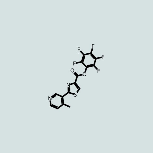 Cc1ccncc1-c1nc(C(=O)Oc2c(F)c(F)c(F)c(F)c2F)cs1